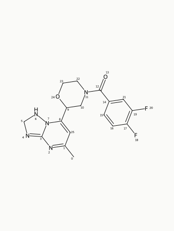 CC1=NC2=NCNN2C(C2CN(C(=O)c3ccc(F)c(F)c3)CCO2)=C1